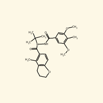 COc1cc(C(=O)NN(C(=O)c2ccc3c(c2C)CCCO3)C(C)(C)C)cc(OC)c1C